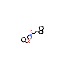 O=C(/C=C/c1cccc2ccccc12)N1CCC2(CC1)OCc1ccccc12